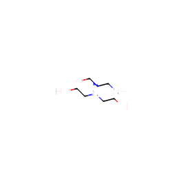 NCCCO.OCCNCCO